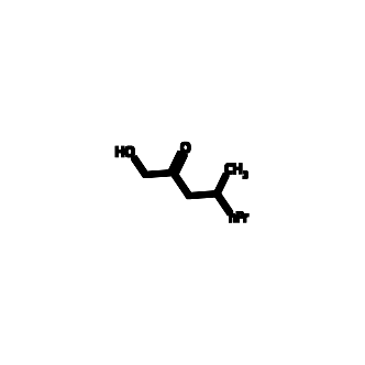 CCCC(C)CC(=O)CO